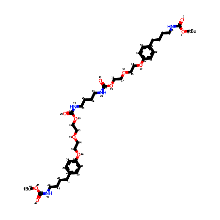 CC(C)(C)OC(=O)NCCCCc1ccc(OCCOCCOC(=O)NCCCCNC(=O)OCCOCCOc2ccc(CCCCNC(=O)OC(C)(C)C)cc2)cc1